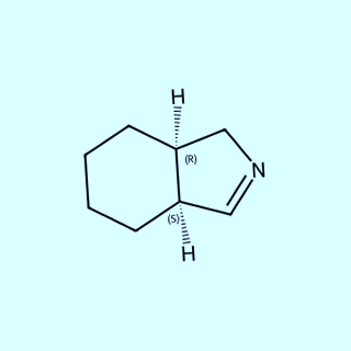 C1=NC[C@@H]2CCCC[C@H]12